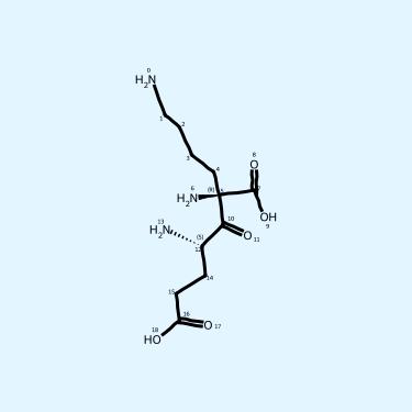 NCCCC[C@](N)(C(=O)O)C(=O)[C@@H](N)CCC(=O)O